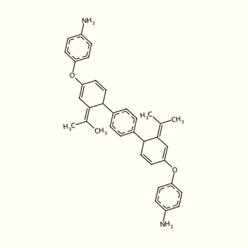 CC(C)=C1C=C(Oc2ccc(N)cc2)C=CC1c1ccc(C2C=CC(Oc3ccc(N)cc3)=CC2=C(C)C)cc1